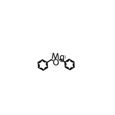 [Mg].c1ccc(COCc2ccccc2)cc1